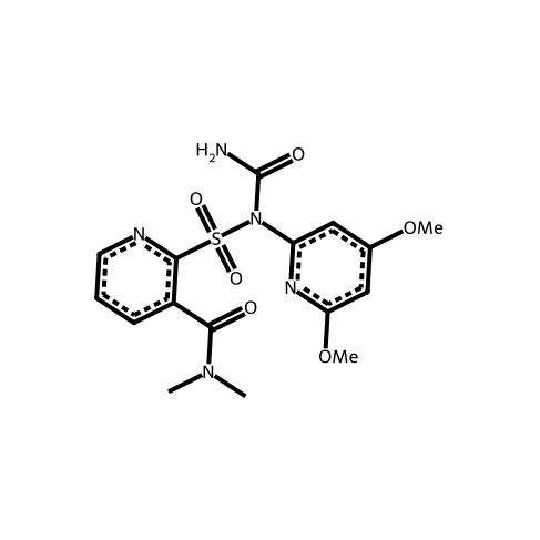 COc1cc(OC)nc(N(C(N)=O)S(=O)(=O)c2ncccc2C(=O)N(C)C)c1